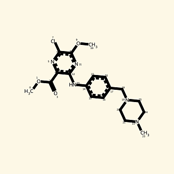 COC(=O)c1nc(Cl)c(OC)nc1Nc1ccc(CN2CCN(C)CC2)cc1